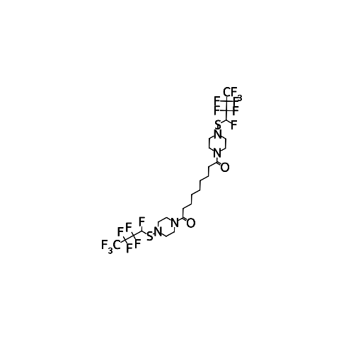 O=C(CCCCCCCC(=O)N1CCN(SC(F)C(F)(F)C(F)(F)C(F)(F)F)CC1)N1CCN(SC(F)C(F)(F)C(F)(F)C(F)(F)F)CC1